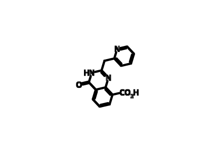 O=C(O)c1cccc2c(=O)[nH]c(Cc3ccccn3)nc12